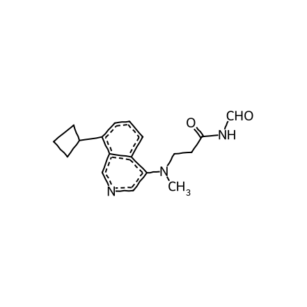 CN(CCC(=O)NC=O)c1cncc2c(C3CCC3)cccc12